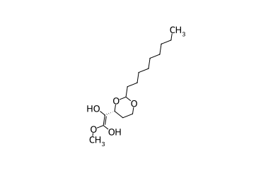 CCCCCCCCCC1OCC[C@H](/C(O)=C(\O)OC)O1